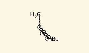 C=CCCCCCCCCOc1ccc(C(=O)Oc2ccc(C(=O)OCC(C)CC)cc2)cc1